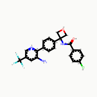 Nc1cc(C(F)(F)F)cnc1-c1ccc(C2(NC(=O)c3ccc(Cl)cc3)COC2)cc1